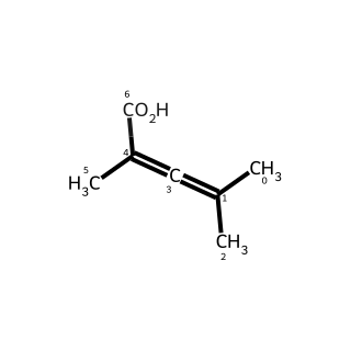 CC(C)=C=C(C)C(=O)O